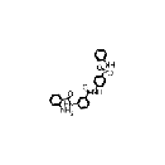 Nc1ccccc1C(=O)Nc1cccc(C(=O)Nc2ccc(S(=O)(=O)Nc3ccccc3)cc2)c1